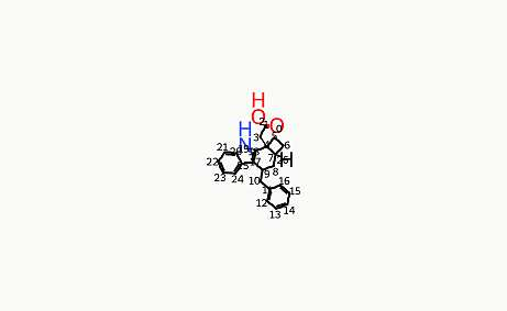 O=C(O)C[C@@]12CC[C@@H]1CC(Cc1ccccc1)c1c2[nH]c2ccccc12